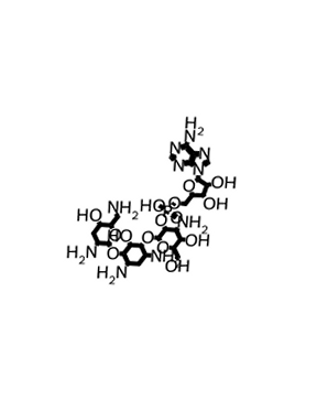 NCC1OC(OC2C(N)CC(N)C(OC3OC(CO)C(O)C(N)C3OP(=O)(O)OCC3OC(n4cnc5c(N)ncnc54)C(O)C3O)C2O)C(N)CC1O